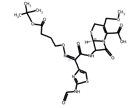 COCC1=C(C(=O)O)N2C(=O)C(NC(=O)/C(=N\OCCCC(=O)OC(C)(C)C)c3csc(NC=O)n3)[C@H]2SC1